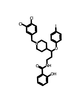 O=C(NCCC(Oc1ccc(I)cc1)C1CCN(Cc2ccc(Cl)c(Cl)c2)CC1)c1ccccc1O